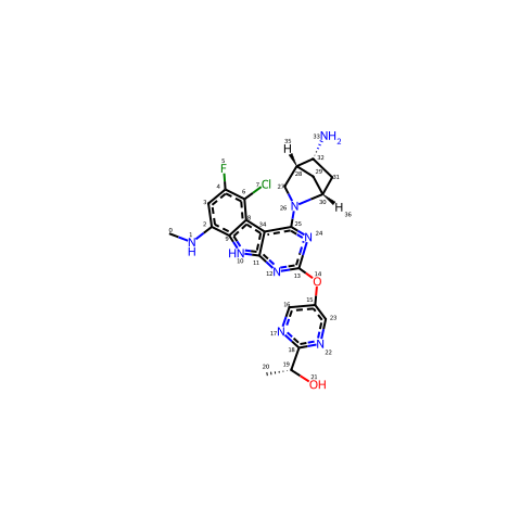 CNc1cc(F)c(Cl)c2c1[nH]c1nc(Oc3cnc([C@@H](C)O)nc3)nc(N3C[C@H]4C[C@@H]3C[C@H]4N)c12